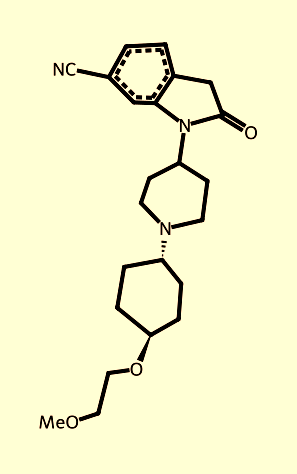 COCCO[C@H]1CC[C@H](N2CCC(N3C(=O)Cc4ccc(C#N)cc43)CC2)CC1